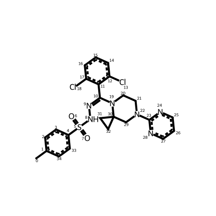 Cc1ccc(S(=O)(=O)N/N=C(/c2c(Cl)cccc2Cl)N2CCN(c3ncccn3)CC23CC3)cc1